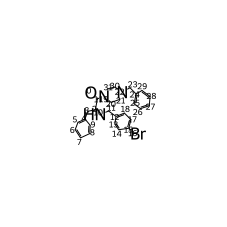 O=C(C(Cc1ccccc1)NCc1ccc(Br)cc1)N1CCN(Cc2ccccc2)CC1